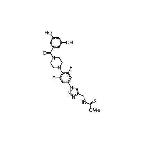 COC(=S)NCc1cn(-c2cc(F)c(N3CCN(C(=O)c4cc(O)cc(O)c4)CC3)c(F)c2)nn1